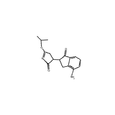 CC(C)OC1=NC(=O)C(C2Cc3c(N)cccc3C2=O)C1